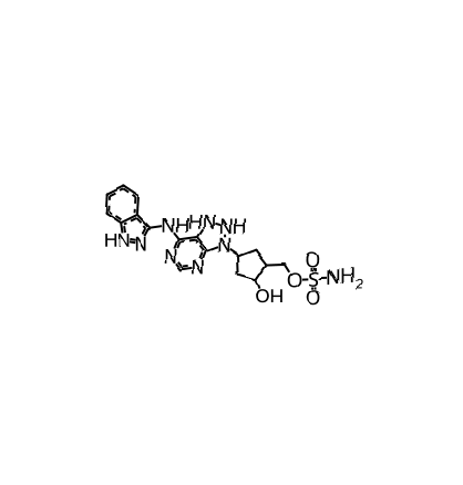 NS(=O)(=O)OCC1CC(N2NNc3c(Nc4n[nH]c5ccccc45)ncnc32)CC1O